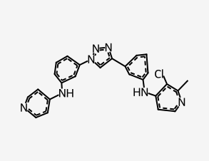 Cc1nccc(Nc2cccc(-c3cn(-c4cccc(Nc5ccncc5)c4)nn3)c2)c1Cl